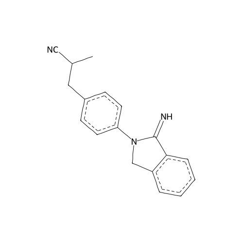 CC(C#N)Cc1ccc(N2Cc3ccccc3C2=N)cc1